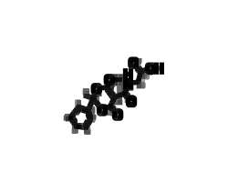 CC1(c2ccccc2)OC(=O)C(C(=O)NCC(=O)O)=C(O)O1